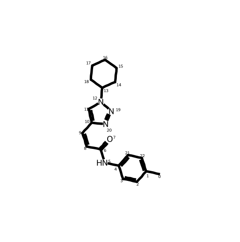 Cc1ccc(NC(=O)/C=C\c2cn(C3CCCCC3)nn2)cc1